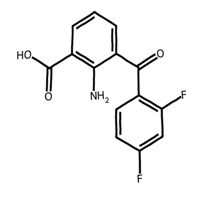 Nc1c(C(=O)O)cccc1C(=O)c1ccc(F)cc1F